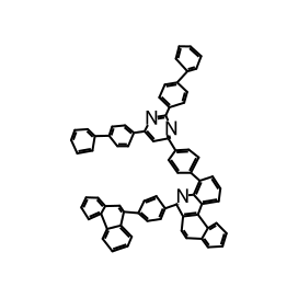 c1ccc(-c2ccc(-c3cc(-c4ccc(-c5cccc6c5nc(-c5ccc(-c7cc8ccccc8c8ccccc78)cc5)c5ccc7ccccc7c56)cc4)nc(-c4ccc(-c5ccccc5)cc4)n3)cc2)cc1